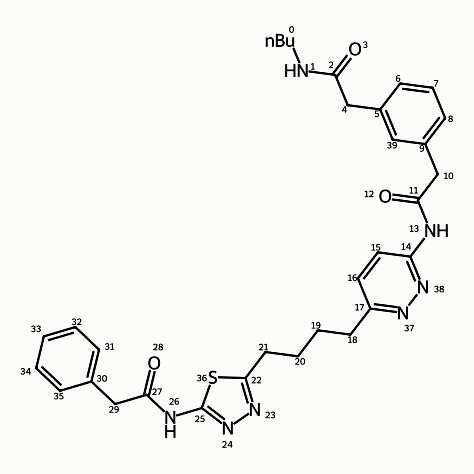 CCCCNC(=O)Cc1cccc(CC(=O)Nc2ccc(CCCCc3nnc(NC(=O)Cc4ccccc4)s3)nn2)c1